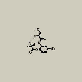 CC(C)c1cccc(NC(=O)C(N)CO)c1.O=C(O)C(F)(F)F